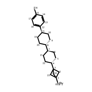 CCCC12CC([C@H]3CC[C@H]([C@H]4CC[C@H](c5ccc(I)cc5)CC4)CC3)(C1)C2